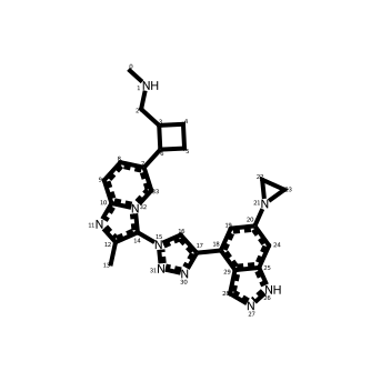 CNCC1CCC1c1ccc2nc(C)c(-n3cc(-c4cc(N5CC5)cc5[nH]ncc45)nn3)n2c1